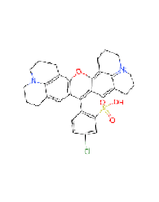 O=S(=O)(O)c1cc(Cl)ccc1C1=c2cc3c4c(c2Oc2c1cc1c5c2CCCN5CCC1)CCC[N+]=4CCC3